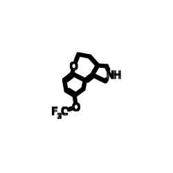 FC(F)(F)OC1=CC=C2OCCC3CNCC3=C2C1